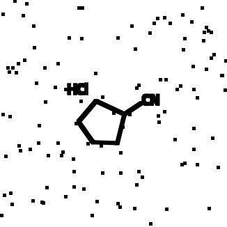 Cl.N#CC1CCCC1